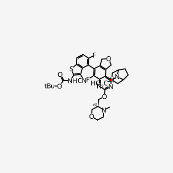 CN1CCOC[C@H]1COc1nc(N2C3CCC2CN(C(=O)O)C3)c2c3c(c(-c4c(F)ccc5sc(NC(=O)OC(C)(C)C)c(C#N)c45)c(F)c2n1)COC3